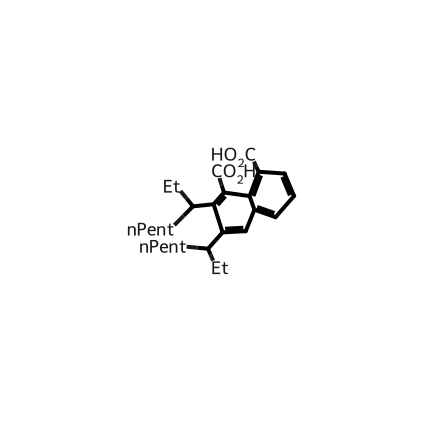 CCCCCC(CC)c1cc2cccc(C(=O)O)c2c(C(=O)O)c1C(CC)CCCCC